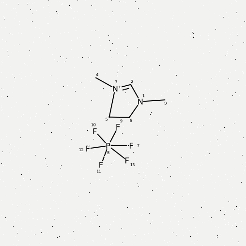 CN1C=[N+](C)CC1.F[P-](F)(F)(F)(F)F